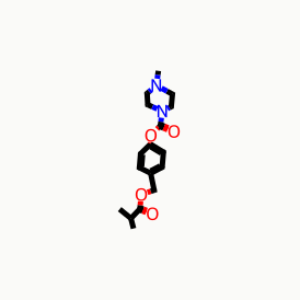 CC(C)C(=O)OCc1ccc(OC(=O)N2CCN(C)CC2)cc1